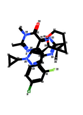 Cc1nc2c(-c3ccc(Cl)cc3F)nc([C@]34CCO[C@H](c5cnn(C6CC6)c5)[C@H]3C4)nc2c(=O)n1C